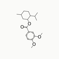 COc1ccc(C(=O)OC2CC(C)CCC2C(C)C)cc1OC